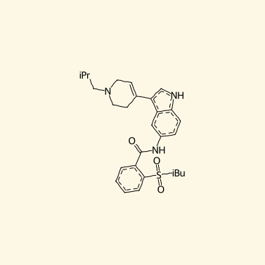 CCC(C)S(=O)(=O)c1ccccc1C(=O)Nc1ccc2[nH]cc(C3=CCN(CC(C)C)CC3)c2c1